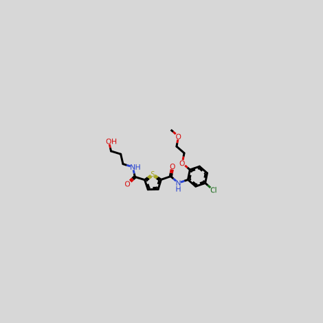 COCCOc1ccc(Cl)cc1NC(=O)c1ccc(C(=O)NCCCO)s1